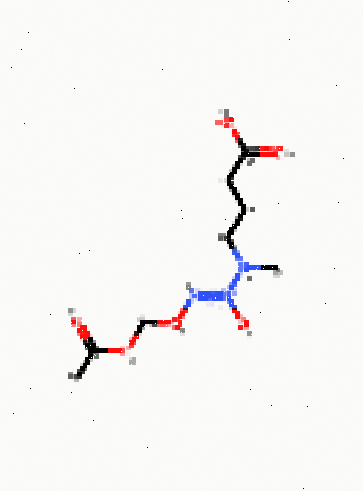 CC(=O)OCO/N=[N+](\[O-])N(C)CCCC(=O)O